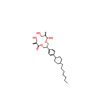 C=C(CO)C(=O)OCC(COC(O)C(=C)CO)c1ccc(C2CCC(CCCCCCC)CC2)cc1